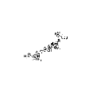 CCCCCCN(C(=O)[C@@H](NC(=O)[C@@]1(C)CCCN1C(=O)OCc1ccc(NC(=O)[C@H](CCCNC(N)=O)NC(=O)[C@@H](N)C(C)C)cc1)[C@@H](C)CC)[C@H](C[C@@H](OC(C)=O)c1nc(C(=O)N[C@@H](Cc2ccc(N)c(F)c2)CC(C)(C)C(=O)O)cs1)C(C)C